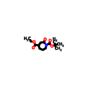 CCOC(=O)C1CCCN(C(=O)OC(C)(C)C)C(=O)C1